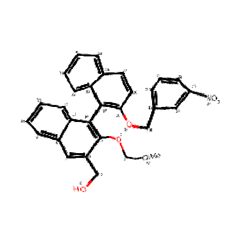 COCOc1c(CO)cc2ccccc2c1-c1c(OCc2cccc([N+](=O)[O-])c2)ccc2ccccc12